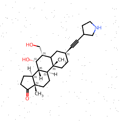 C[C@]12CC[C@H](C#CC3CCNC3)CC1[C@@H](CO)[C@@H](O)[C@@H]1[C@@H]2CC[C@]2(C)C(=O)CC[C@@H]12